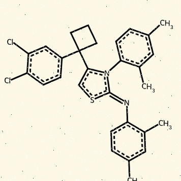 Cc1ccc(N=c2scc(C3(c4ccc(Cl)c(Cl)c4)CCC3)n2-c2ccc(C)cc2C)c(C)c1